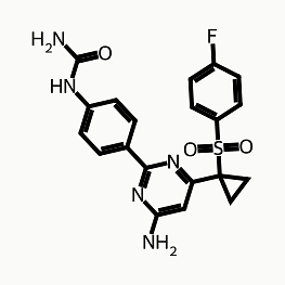 NC(=O)Nc1ccc(-c2nc(N)cc(C3(S(=O)(=O)c4ccc(F)cc4)CC3)n2)cc1